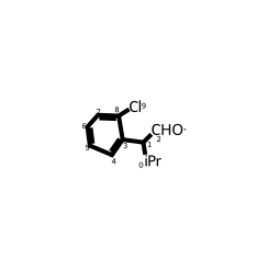 CC(C)C([C]=O)c1ccccc1Cl